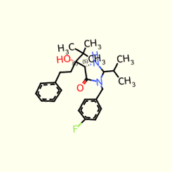 CC(C)C1N[C@@H]([C@@](O)(CCc2ccccc2)C(C)(C)C)C(=O)N1Cc1ccc(F)cc1